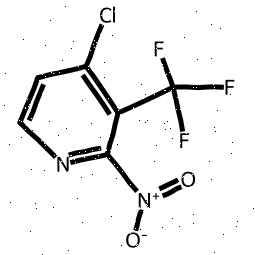 O=[N+]([O-])c1nccc(Cl)c1C(F)(F)F